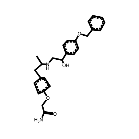 CC(Cc1ccc(OCC(N)=O)cc1)NCC(O)c1ccc(OCc2ccccc2)cc1